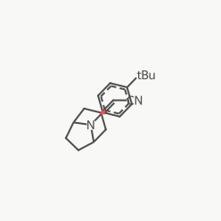 CC(C)(C)c1ccc(N2C3CCC2CC(=CC#N)C3)cc1